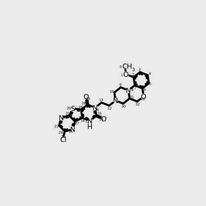 COc1cccc2c1N1CCN(CCn3c(=O)[nH]c4c(sc5ncc(Cl)nc54)c3=O)CC1CO2